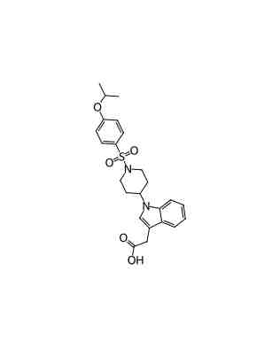 CC(C)Oc1ccc(S(=O)(=O)N2CCC(n3cc(CC(=O)O)c4ccccc43)CC2)cc1